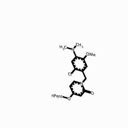 CCCCCOc1ccn(Cc2cc(OC)c(N(C)C)cc2Cl)c(=O)c1